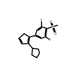 CS(=O)(=O)c1c(F)cc(C2=C(C3CCCC3)C=CC2)cc1F